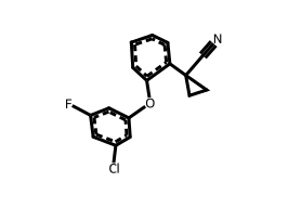 N#CC1(c2ccccc2Oc2cc(F)cc(Cl)c2)CC1